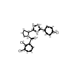 O=C(c1cccc(Cl)c1Cl)N1CCCC1c1nnc(-c2ccc(Cl)cc2)o1